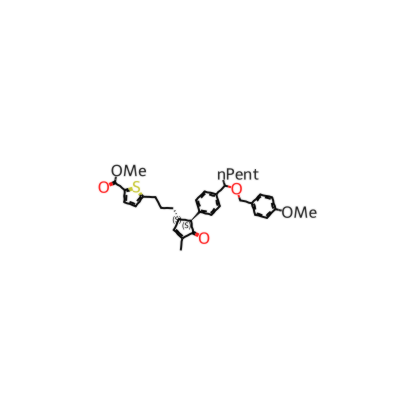 CCCCCC(OCc1ccc(OC)cc1)c1ccc([C@H]2C(=O)C(C)=C[C@@H]2CCCc2ccc(C(=O)OC)s2)cc1